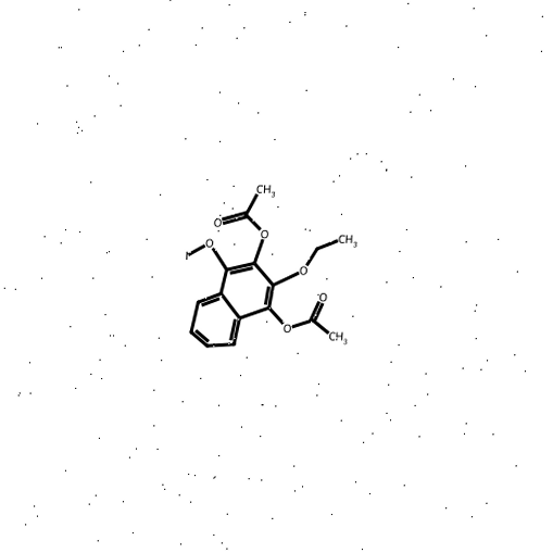 CCOc1c(OC(C)=O)c(OI)c2ccccc2c1OC(C)=O